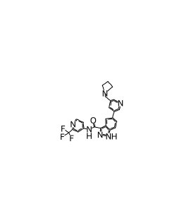 O=C(Nc1ccnc(C(F)(F)F)c1)c1n[nH]c2ccc(-c3cncc(CN4CCC4)c3)cc12